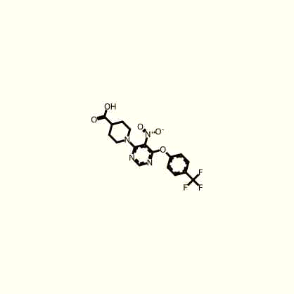 O=C(O)C1CCN(c2ncnc(Oc3ccc(C(F)(F)F)cc3)c2[N+](=O)[O-])CC1